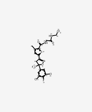 Cc1cc(C2=NOC(c3cc(Cl)c(F)c(Cl)c3)(C(F)(F)F)C2)sc1C(=O)NCC(=O)NCC(F)(F)F